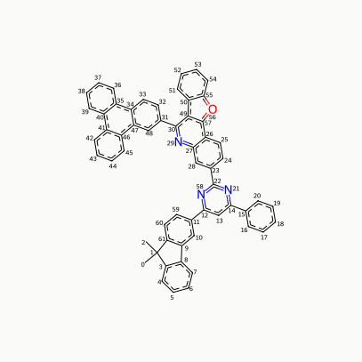 CC1(C)c2ccccc2-c2cc(-c3cc(-c4ccccc4)nc(-c4ccc5c(c4)nc(-c4ccc6c7ccccc7c7ccccc7c6c4)c4c6ccccc6oc54)n3)ccc21